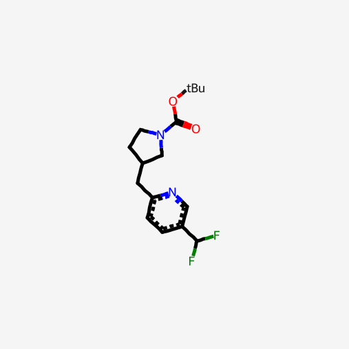 CC(C)(C)OC(=O)N1CCC(Cc2ccc(C(F)F)cn2)C1